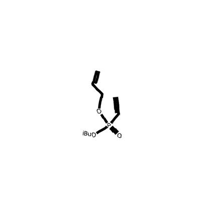 C=CCOP(=O)(C=C)OCC(C)C